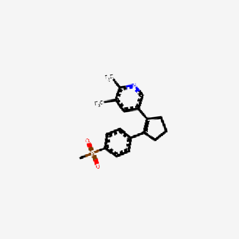 CS(=O)(=O)c1ccc(C2=C(c3cnc(C(F)(F)F)c(C(F)(F)F)c3)CCC2)cc1